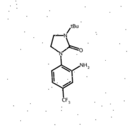 CC(C)(C)N1CCN(c2ccc(C(F)(F)F)cc2N)C1=O